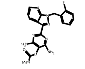 CNC(=O)Oc1c(N)nc(-c2nn(Cc3ccccc3F)c3ncccc23)nc1N